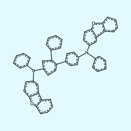 c1ccc(-c2cc(N(c3ccccc3)c3ccc4oc5ccccc5c4c3)ccc2-c2ccc(N(c3ccccc3)c3ccc4oc5ccccc5c4c3)cc2)cc1